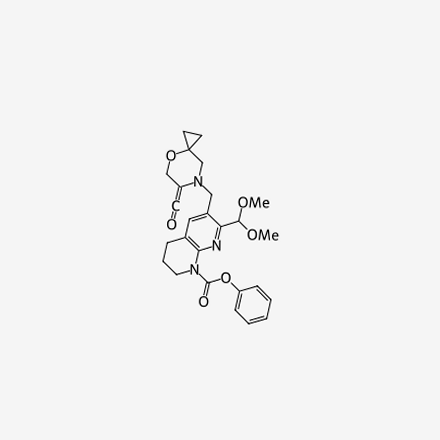 COC(OC)c1nc2c(cc1CN1CC3(CC3)OCC1=C=O)CCCN2C(=O)Oc1ccccc1